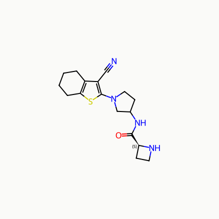 N#Cc1c(N2CCC(NC(=O)[C@@H]3CCN3)C2)sc2c1CCCC2